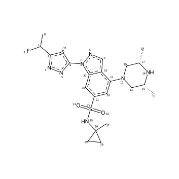 CC(F)c1nnc(-n2ncc3c(N4C[C@@H](C)N[C@@H](C)C4)cc(S(=O)(=O)NC4(C)CC4)cc32)s1